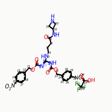 O=C(CCCN/C(=N\C(=O)OCc1ccc([N+](=O)[O-])cc1)NC(=O)OCc1ccc([N+](=O)[O-])cc1)NC1CNC1.O=C(O)C(F)(F)F